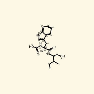 CCC(C)C(CO)NC(=O)[C@](C)(Cc1c[nH]c2ccccc12)NC(=O)O